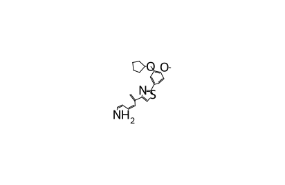 C=C(/C=C\C=C/N)c1csc(-c2ccc(OC)c(OC3CCCC3)c2)n1